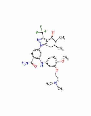 COc1ccc(Nc2cc(-n3nc(C(F)(F)F)c4c3C[C@H](C)C(C)C4=O)ccc2C(N)=O)cc1OCCN(C)C